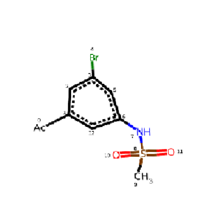 CC(=O)c1cc(Br)cc(NS(C)(=O)=O)c1